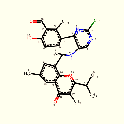 Cc1cc(C(C)Nc2cnc(Cl)nc2-c2ccc(O)c(C=O)c2C)c2oc(C(C)C)c(C)c(=O)c2c1